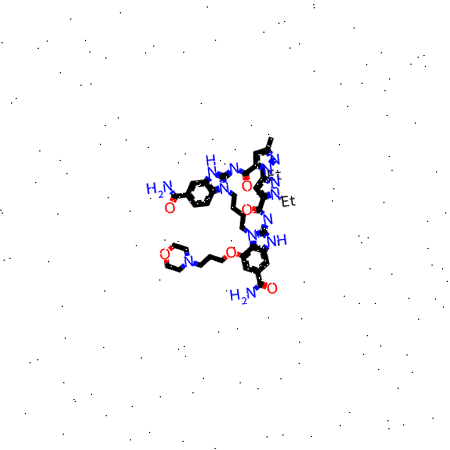 CCn1nc(C)cc1C(=O)/N=c1/[nH]c2cc(C(N)=O)ccc2n1CCCCn1/c(=N\C(=O)c2cc(C)nn2CC)[nH]c2cc(C(N)=O)cc(OCCCN3CCOCC3)c21